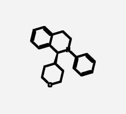 c1ccc(N2CCc3ccccc3[C@@H]2C2CCOCC2)cc1